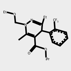 CCOCN1N=C(CC)C(c2ccccc2C(F)(F)F)C(C(=O)OC(C)C)=C1C